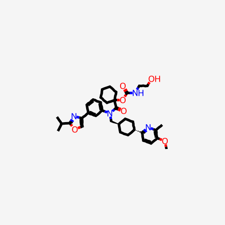 COc1ccc([C@H]2CC[C@H](CN(C(=O)C3(OC(=O)NCCO)CCCCC3)c3cccc(-c4coc(C(C)C)n4)c3)CC2)nc1C